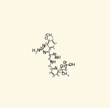 COc1cccc2c(/C(=C/NCc3cccc(C(C)(C)CC(=O)O)n3)N=N)nc(N)nc12